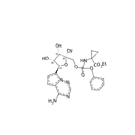 CCOC(=O)C1(NP(=O)(OC[C@@]2(C#N)O[C@@H](c3ccc4c(N)ncnn34)[C@H](O)[C@@H]2O)Oc2ccccc2)CC1